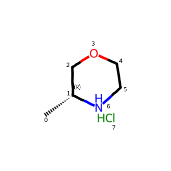 C[C@@H]1COCCN1.Cl